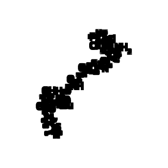 Cc1ncsc1-c1ccc(CNC(=O)[C@@H]2C[C@@H](O)CN2C(=O)[C@@H](NC(=O)CCCNC(=O)CCCC(=O)N2CCC(n3cc(-c4cnc(N)c(O[C@H](C)c5c(Cl)ccc(F)c5Cl)c4)cn3)CC2)C(C)(C)C)cc1